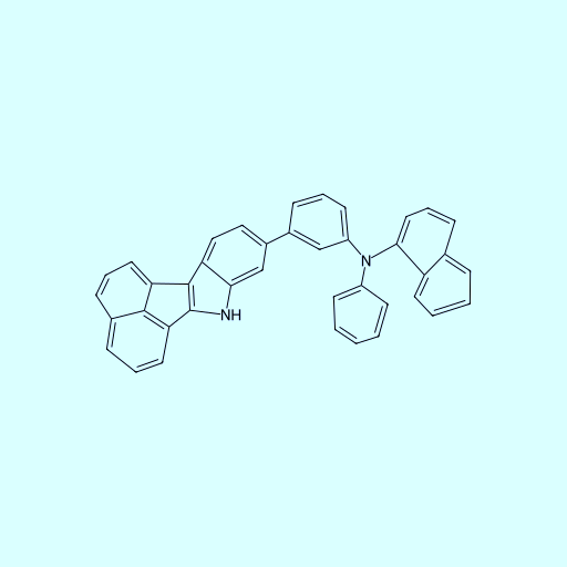 c1ccc(N(c2cccc(-c3ccc4c5c([nH]c4c3)-c3cccc4cccc-5c34)c2)c2cccc3ccccc23)cc1